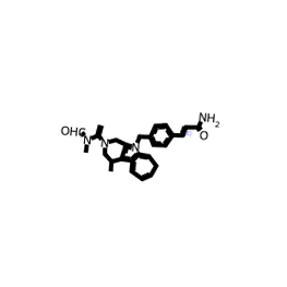 C=C(N(C)C=O)N1Cc2c(c3c(n2Cc2ccc(/C=C/C(N)=O)cc2)=CCC=CC=3)C(C)C1